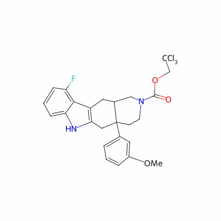 COc1cccc(C23CCN(C(=O)OCC(Cl)(Cl)Cl)CC2Cc2c([nH]c4cccc(F)c24)C3)c1